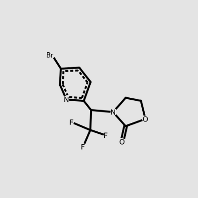 O=C1OCCN1C(c1ccc(Br)cn1)C(F)(F)F